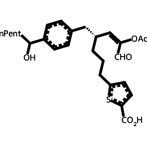 CCCCCC(O)c1ccc(C[C@H](/C=C(\C=O)OC(C)=O)CCCc2ccc(C(=O)O)s2)cc1